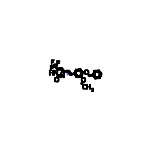 CCOc1cc(/C=C/c2cc(C(F)(F)F)[nH]c(=O)n2)ccc1OCc1ccccc1